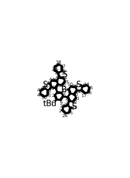 CC(C)(C)c1cc2c3c(c1)-c1c4c(cc5sc6ccccc6c5c4cc4sc5ccccc5c14)B3c1cc3sc4ccccc4c3c3cc4sc5ccccc5c4c-2c13